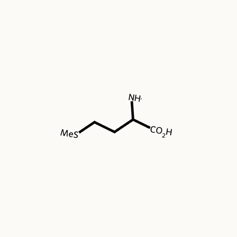 CSCCC([NH])C(=O)O